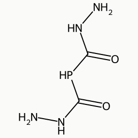 NNC(=O)PC(=O)NN